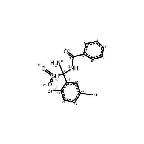 NC(NC(=O)c1ccccc1)(c1cc(F)ccc1Br)[SH](=O)=O